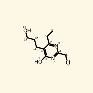 CCc1nc(CCl)nc(O)c1CCCO